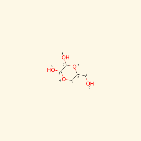 OCC1COC(O)C(O)O1